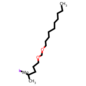 CCCCCCCCCCOCOCCC[CH](C)[Mg][I]